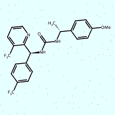 COc1ccc([C@@H](C)NC(=O)N[C@@H](c2ccc(C(F)(F)F)cc2)c2ncccc2C(F)(F)F)cc1